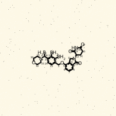 Bc1c(COc2cccc3c2CN(C2CCC(=O)NC2=O)C3=O)ccc(C(B)N2CCOCC2)c1B